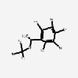 [2H]c1c([2H])c([C@H](C)OC([2H])([2H])[2H])c([2H])c([2H])c1Br